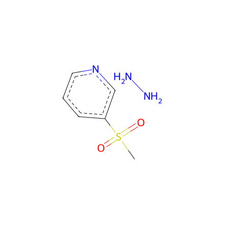 CS(=O)(=O)c1cccnc1.NN